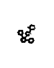 Cc1ccncc1-c1ccc(-c2c(-c3ccccc3)cccc2-c2ccccc2)cn1